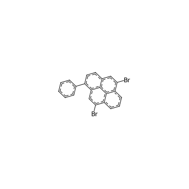 Brc1cc2ccc(-c3ccccc3)c3cc(Br)c4cccc1c4c23